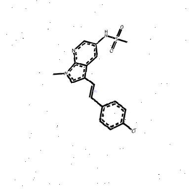 Cn1cc(/C=C/c2ccc(Cl)cc2)c2cc(NS(C)(=O)=O)cnc21